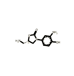 NC[C@H]1CN(c2ccc(O)c(N)c2)C(=O)O1